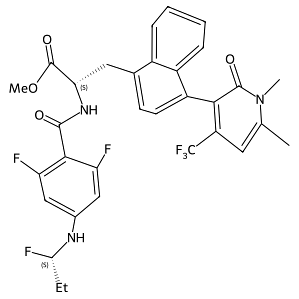 CC[C@H](F)Nc1cc(F)c(C(=O)N[C@@H](Cc2ccc(-c3c(C(F)(F)F)cc(C)n(C)c3=O)c3ccccc23)C(=O)OC)c(F)c1